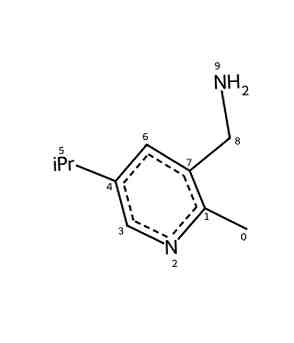 Cc1ncc(C(C)C)cc1CN